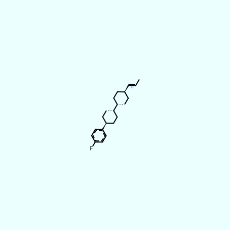 C/C=C/[C@H]1CC[C@H]([C@H]2CC[C@H](c3ccc(F)cc3)CC2)CC1